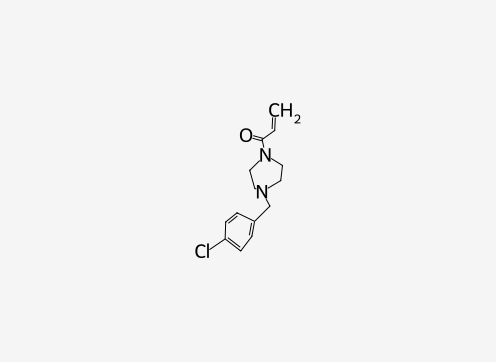 C=CC(=O)N1CCN(Cc2ccc(Cl)cc2)CC1